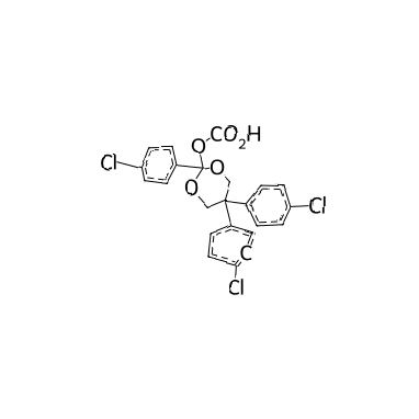 O=C(O)OC1(c2ccc(Cl)cc2)OCC(c2ccc(Cl)cc2)(c2ccc(Cl)cc2)CO1